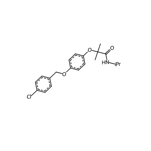 CC(C)NC(=O)C(C)(C)Oc1ccc(OCc2ccc(Cl)cc2)cc1